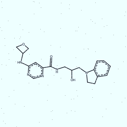 O=C(NCC(O)CN1CCc2ccccc21)c1cc(NC2COC2)ncn1